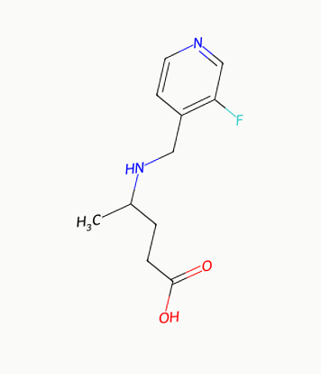 CC(CCC(=O)O)NCc1ccncc1F